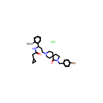 COc1ccccc1C(CCN1CCC2(CC1)CCN(Cc1ccc(Br)cc1)C2=O)NC(=O)CC1CC1.Cl